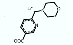 O=C([O-])c1ccc(CN2CCOCC2)nc1.[Li+]